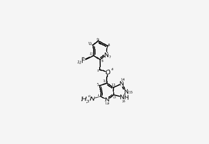 Nc1cc(OCc2ncccc2F)c2nn[nH]c2n1